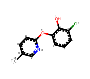 Oc1c(Cl)cccc1Oc1ccc(C(F)(F)F)cn1